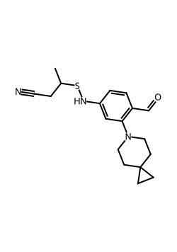 CC(CC#N)SNc1ccc(C=O)c(N2CCC3(CC2)CC3)c1